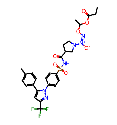 CCC(=O)OC(C)O/N=[N+](/[O-])N1CCC(C(=O)NS(=O)(=O)c2ccc(-n3nc(C(F)(F)F)cc3-c3ccc(C)cc3)cc2)C1